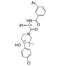 CC(=O)c1cccc(C(=O)N[C@@H](C(=O)N2CC[C@](O)(c3ccc(Cl)cc3)C(C)(C)C2)C(C)C)c1